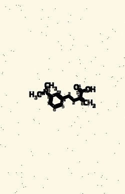 C=C(CCc1cccc(N(C)C)c1)C(=O)O